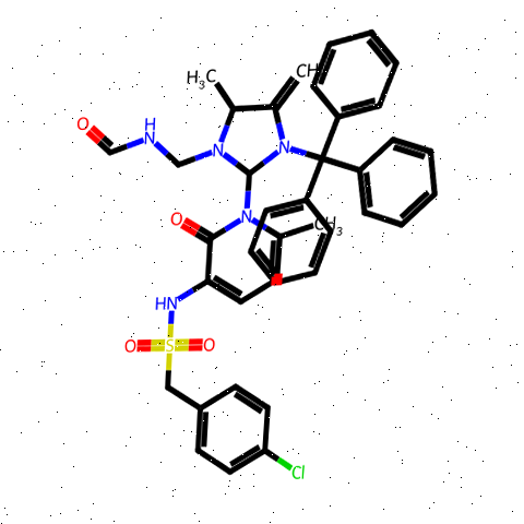 C=C1C(C)N(CNC=O)C(n2c(C)ccc(NS(=O)(=O)Cc3ccc(Cl)cc3)c2=O)N1C(c1ccccc1)(c1ccccc1)c1ccccc1